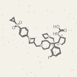 O=C(O)N[C@H]1CCC[C@@H]1[C@](CN1CCC1)(c1cccc(F)c1)C1CCN(CC2CN(c3ccc(S(=O)(=O)C4CC4)cc3)C2)CC1